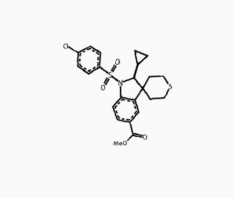 COC(=O)c1ccc2c(c1)C1(CCSCC1)C(C1CC1)N2S(=O)(=O)c1ccc(Cl)cc1